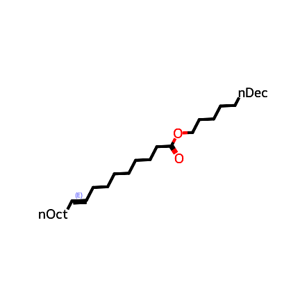 CCCCCCCC/C=C/CCCCCCCC(=O)OCCCCCCCCCCCCCCC